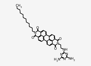 CCCCCCCCCCCCN1C(=O)c2ccc3c4ccc5c6c(ccc(c7ccc(c2c37)C1=O)c64)C(=O)N(CCNc1nc(N)nc(N)n1)C5=O